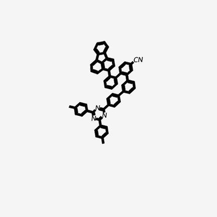 Cc1ccc(-c2nc(-c3ccc(C)cc3)nc(-c3ccc(-c4cccc(-c5cc(C#N)ccc5-c5ccccc5-c5ccc6c7c(cccc57)-c5ccccc5-6)c4)cc3)n2)cc1